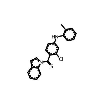 Cc1ccccc1Nc1ccc(C(=S)n2ccc3ccccc32)c(Cl)c1